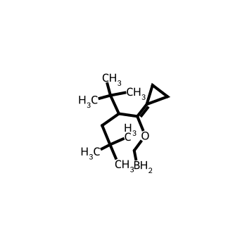 BCOC(=C1CC1)C(CC(C)(C)C)C(C)(C)C